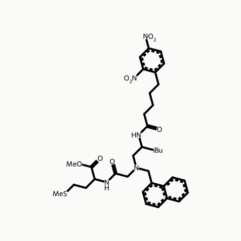 CCC(C)C(CN(CC(=O)NC(CCSC)C(=O)OC)Cc1cccc2ccccc12)NC(=O)CCCCc1ccc([N+](=O)[O-])cc1[N+](=O)[O-]